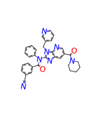 N#Cc1cccc(C(=O)N(c2ccccc2)c2nc3cc(C(=O)N4CCCCC4)cnc3n2Cc2cccnc2)c1